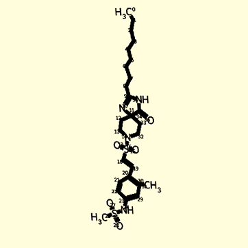 CCCCCCCCCC1=NC2(CCN(S(=O)(=O)/C=C/c3ccc(NS(C)(=O)=O)cc3C)CC2)C(=O)N1